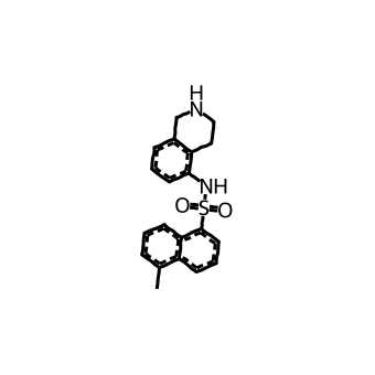 Cc1cccc2c(S(=O)(=O)Nc3cccc4c3CCNC4)cccc12